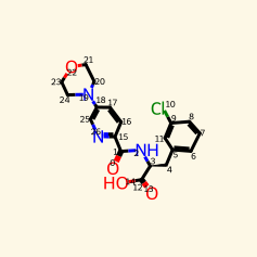 O=C(N[C@@H](Cc1cccc(Cl)c1)C(=O)O)c1ccc(N2CCOCC2)cn1